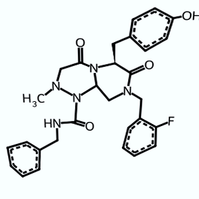 CN1CC(=O)N2C(CN(Cc3ccccc3F)C(=O)[C@@H]2Cc2ccc(O)cc2)N1C(=O)NCc1ccccc1